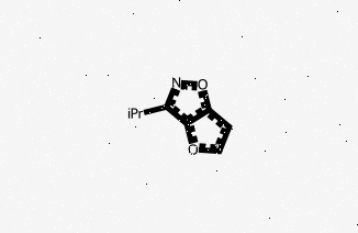 CC(C)c1noc2ccoc12